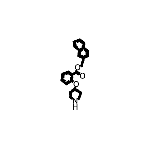 O=C(OCc1ccc2ccccc2c1)c1ccccc1OC1CCNCC1